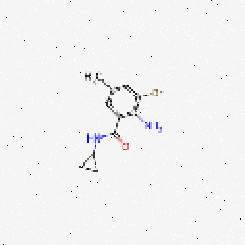 Cc1cc(Br)c(N)c(C(=O)NC2CC2)c1